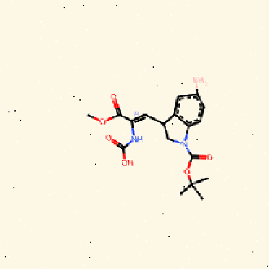 Bc1ccc2c(c1)C(/C=C(\NC(=O)O)C(=O)OC)CN2C(=O)OC(C)(C)C